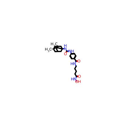 C[C@]12CC3CC(NC(=O)Nc4ccc(C(=O)NCCCCC(=O)NO)cc4)(C1)C[C@@](C)(C3)C2